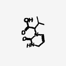 CC(C)C(C(=O)O)N1C=CCNC1=O